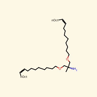 CCCCCCCC/C=C\CCCCCCCCOCC(C)(N)COCCCCCCCC/C=C\CCCCCCCC